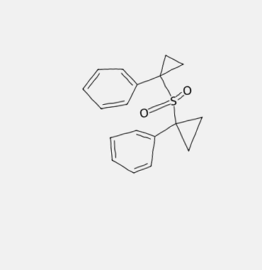 O=S(=O)(C1(c2ccccc2)CC1)C1(c2ccccc2)CC1